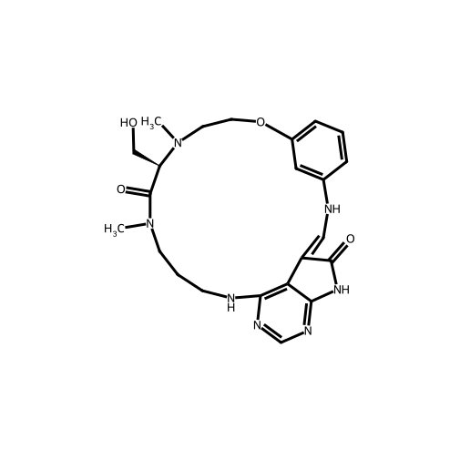 CN1CCCNc2ncnc3c2/C(=C/Nc2cccc(c2)OCCN(C)[C@H](CO)C1=O)C(=O)N3